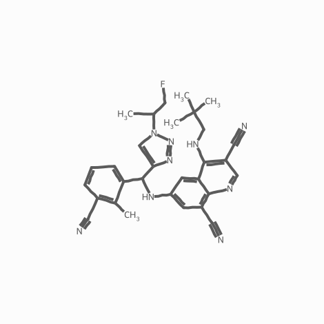 Cc1c(C#N)cccc1C(Nc1cc(C#N)c2ncc(C#N)c(NCC(C)(C)C)c2c1)c1cn(C(C)CF)nn1